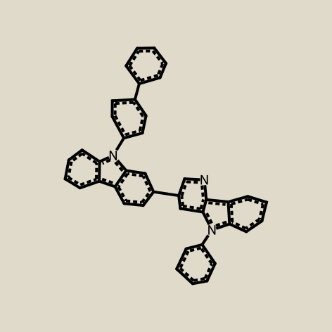 c1ccc(-c2ccc(-n3c4ccccc4c4ccc(-c5cnc6c7ccccc7n(-c7ccccc7)c6c5)cc43)cc2)cc1